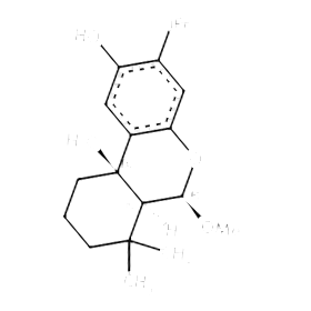 CO[C@@H]1Oc2cc(C(C)C)c(O)cc2[C@@]2(C)CCCC(C)(C)[C@H]12